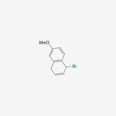 COc1ccc2c(c1)CC=[C]C2Br